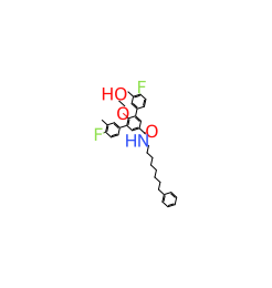 Cc1cc(-c2cc(C(=O)NCCCCCCCCc3ccccc3)cc(-c3ccc(F)c(C)c3)c2OCCO)ccc1F